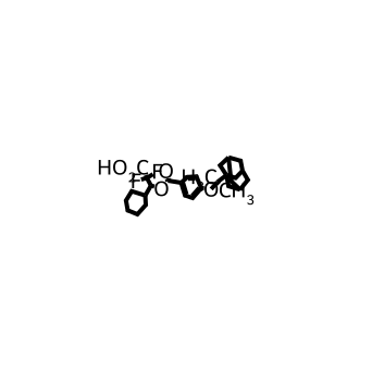 CC(C)(Oc1ccc(C(=O)OC(C2CCCCC2)C(F)(F)C(=O)O)cc1)C12CC3CC(CC(C3)C1)C2